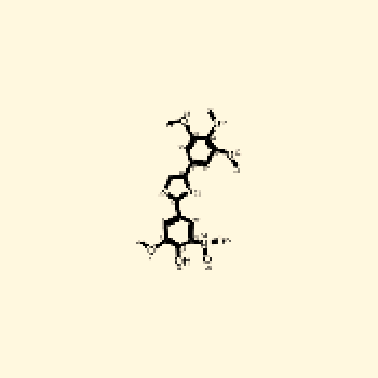 COc1cc(C2SCC(c3cc(OC)c(OC)c(OC)c3)S2)cc([N+](=O)[O-])c1O